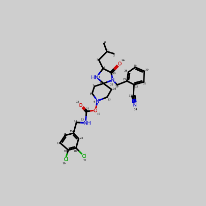 CC(C)CC1NC2(CCN(OC(=O)NCc3ccc(Cl)c(Cl)c3)CC2)N(Cc2ccccc2C#N)C1=O